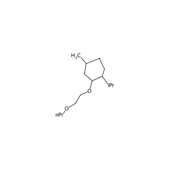 CCCOCCOC1CC(C)CCC1C(C)C